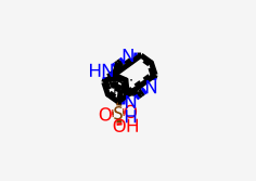 O=S(=O)(O)c1[c]cc2[c]c1c1nc3cc4nc2[nH]c4cc3[nH]1